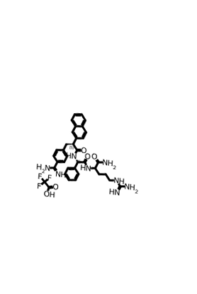 N=C(N)NCCCC(NC(=O)[C@@H](NC(=O)[C@@H](Cc1ccc(C(=N)N)cc1)c1ccc2ccccc2c1)c1ccccc1)C(N)=O.O=C(O)C(F)(F)F